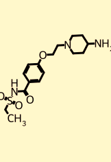 CCS(=O)(=O)NC(=O)c1ccc(OCCN2CCC(N)CC2)cc1